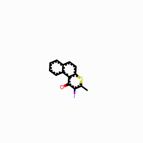 Cc1sc2ccc3ccccc3c2c(=O)c1I